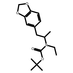 CCN(C(=O)OC(C)(C)C)C(C)Cc1ccc2c(c1)OCO2